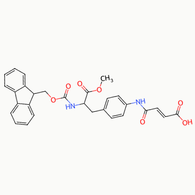 COC(=O)C(Cc1ccc(NC(=O)C=CC(=O)O)cc1)NC(=O)OCC1c2ccccc2-c2ccccc21